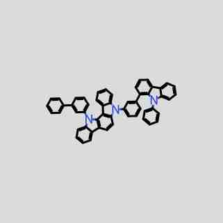 c1ccc(-c2cccc(-n3c4ccccc4c4ccc5c(c6ccccc6n5-c5cccc(-c6cccc7c8ccccc8n(-c8ccccc8)c67)c5)c43)c2)cc1